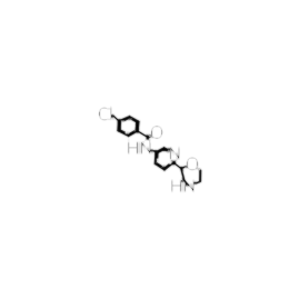 O=C(Nc1ccc(C2CNCCO2)nc1)c1ccc(Cl)cc1